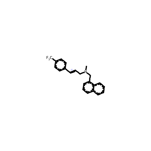 CN(C/C=C/c1ccc(C(F)(F)F)cc1)Cc1cccc2ccccc12